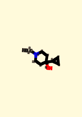 O=C(O)N1CCC(O)(C2CC2)CC1